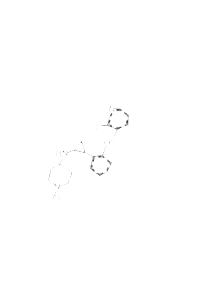 CC(=O)N1CCC(NC2CC2c2ccccc2OCc2cccnc2F)CC1